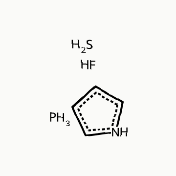 F.P.S.c1cc[nH]c1